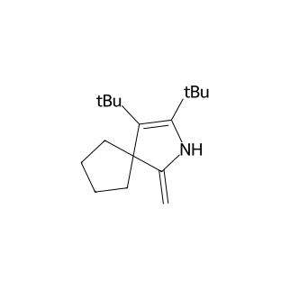 C=C1NC(C(C)(C)C)=C(C(C)(C)C)C12CCCC2